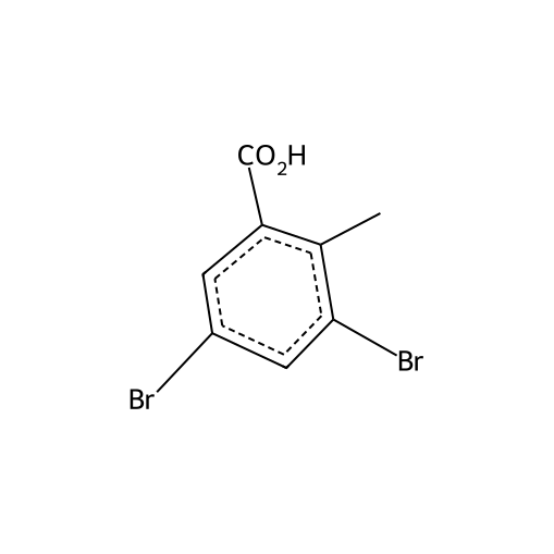 Cc1c(Br)cc(Br)cc1C(=O)O